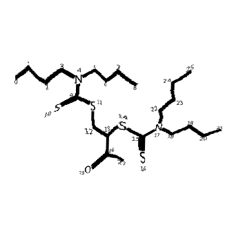 CCCCN(CCCC)C(=S)SCC(SC(=S)N(CCCC)CCCC)C(C)=O